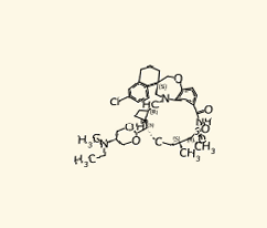 CCN(C)[C@H]1CO[C@@H]([C@H]2CCC[C@H](C)[C@@H](C)S(=O)(=O)NC(=O)c3ccc4c(c3)N(C[C@@H]3CC[C@H]32)C[C@@]2(CCCc3cc(Cl)ccc32)CO4)OC1